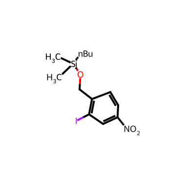 CCCC[Si](C)(C)OCc1ccc([N+](=O)[O-])cc1I